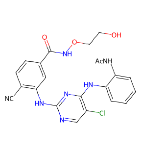 CC(=O)Nc1ccccc1Nc1nc(Nc2cc(C(=O)NOCCO)ccc2C#N)ncc1Cl